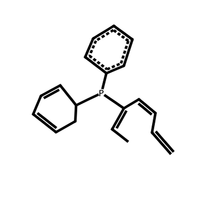 C=C/C=C\C(=C/C)P(c1ccccc1)C1C=CC=CC1